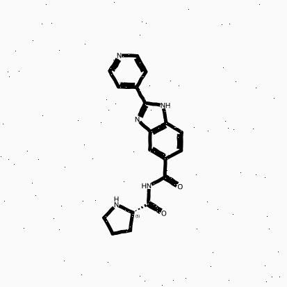 O=C(NC(=O)[C@@H]1CCCN1)c1ccc2[nH]c(-c3ccncc3)nc2c1